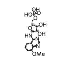 COc1cccc2c(N[C@@H]3O[C@H](COP(=O)(O)O)[C@@H](O)[C@H]3O)ncnc12